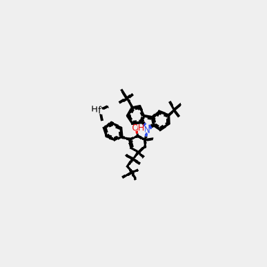 CC(C)(C)CC(C)(C)C1(C)C=C(c2ccccc2)C(O)C(C)(n2c3ccc(C(C)(C)C)cc3c3cc(C(C)(C)C)ccc32)C1.[CH3][Hf][CH3]